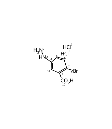 Cl.Cl.NNc1ccc(Br)c(C(=O)O)c1